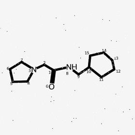 O=C(CN1CCCC1)NCC1CCCCC1